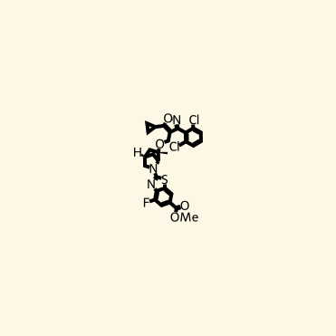 COC(=O)c1cc(F)c2nc(N3C[C@H]4CC3[C@@](C)(OCc3c(-c5c(Cl)cccc5Cl)noc3C3CC3)C4)sc2c1